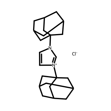 [Cl-].c1c[n+](C23CC4CC(CC(C4)C2)C3)cn1C12CC3CC(CC(C3)C1)C2